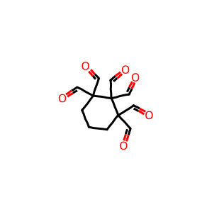 O=CC1(C=O)CCCC(C=O)(C=O)C1(C=O)C=O